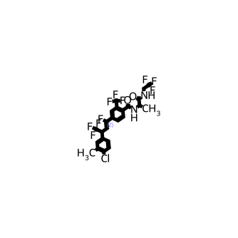 Cc1cc(C(/C=C(\F)c2ccc(C(=O)NC(C)C(=O)NCC(F)(F)F)c(C(F)(F)F)c2)C(F)(F)F)ccc1Cl